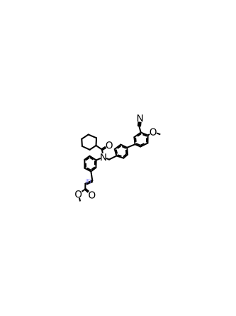 COC(=O)/C=C/c1cccc(N(Cc2ccc(-c3ccc(OC)c(C#N)c3)cc2)C(=O)C2CCCCC2)c1